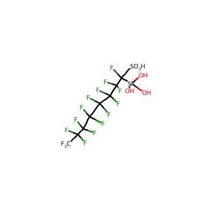 O=S(=O)(O)C(F)(C(F)(F)C(F)(F)C(F)(F)C(F)(F)C(F)(F)C(F)(F)C(F)(F)F)[Si](O)(O)O